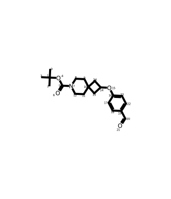 CC(C)(C)OC(=O)N1CCC2(CC1)CC(Oc1ccc(C=O)cc1)C2